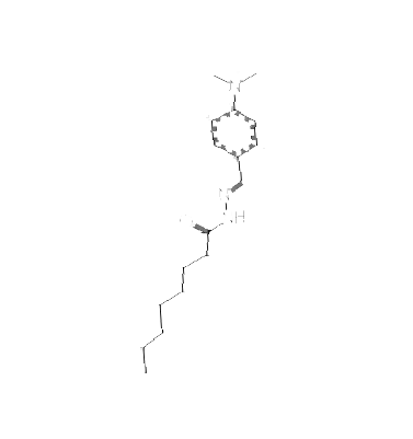 CCCCCCCC(=O)NN=Cc1ccc(N(C)C)cc1